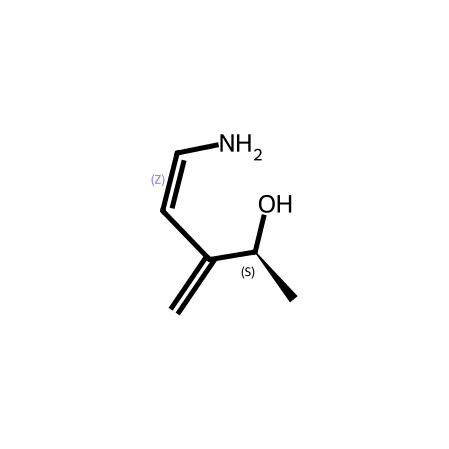 C=C(/C=C\N)[C@H](C)O